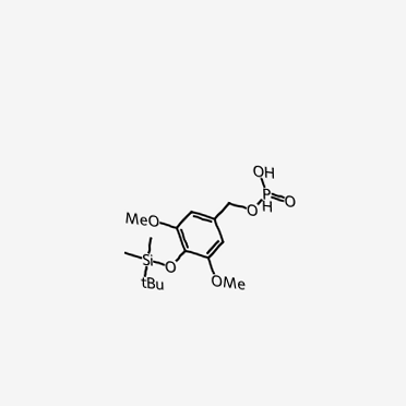 COc1cc(CO[PH](=O)O)cc(OC)c1O[Si](C)(C)C(C)(C)C